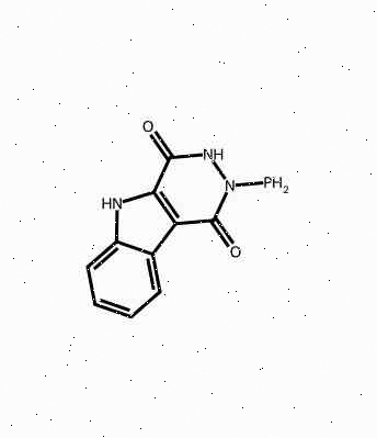 O=c1[nH]n(P)c(=O)c2c1[nH]c1ccccc12